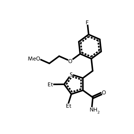 CCc1sc(Cc2ccc(F)cc2OCCOC)c(C(N)=O)c1CC